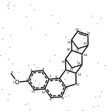 COc1ccc2c3c(ccc2c1)CC1C2CC(C31)C1C3C=CC(C3)C21